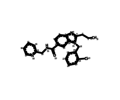 CCCc1nc2ccc(C(=O)NCc3ccccn3)cc2n1Cc1ccccc1Cl